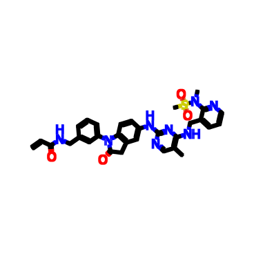 C=CC(=O)NCc1cccc(N2C(=O)Cc3cc(Nc4ncc(C)c(NCc5cccnc5N(C)S(C)(=O)=O)n4)ccc32)c1